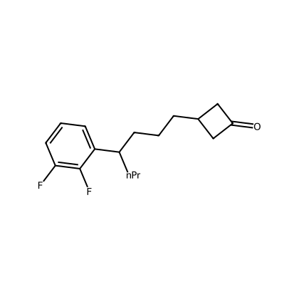 CCCC(CCCC1CC(=O)C1)c1cccc(F)c1F